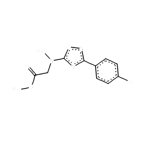 COC(=O)CN(C)c1nc(-c2ccc(Cl)cc2)ns1